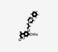 COc1cc2oc(=O)cc(C)c2cc1OCCCN1CCN(c2ccccc2)CC1